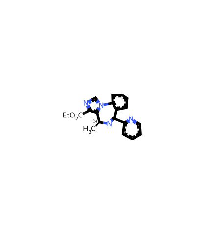 CCOC(=O)c1ncn2c1[C@H](C)N=C(c1ccccn1)c1ccccc1-2